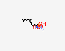 CC(C)=CCCC(C)=CCCC(C)=CC(N)CP(=O)(O)O